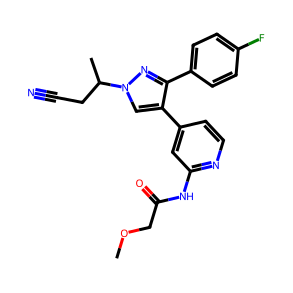 COCC(=O)Nc1cc(-c2cn(C(C)CC#N)nc2-c2ccc(F)cc2)ccn1